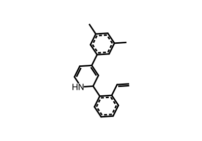 C=Cc1ccccc1C1C=C(c2cc(C)cc(C)c2)C=CN1